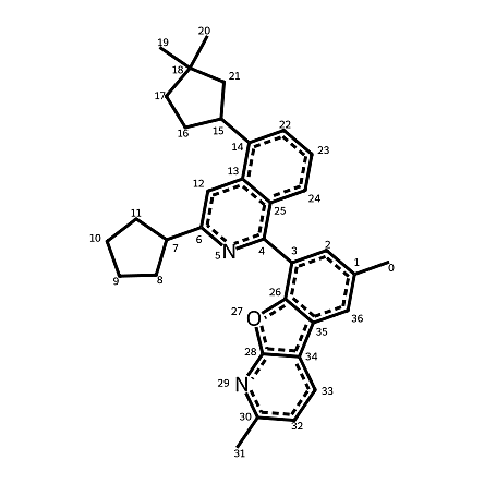 Cc1cc(-c2nc(C3CCCC3)cc3c(C4CCC(C)(C)C4)cccc23)c2oc3nc(C)ccc3c2c1